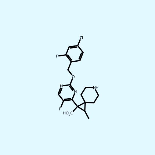 CC1C2(CCNCC2)C1(C(=O)O)c1nc(OCc2ccc(Cl)cc2F)ncc1F